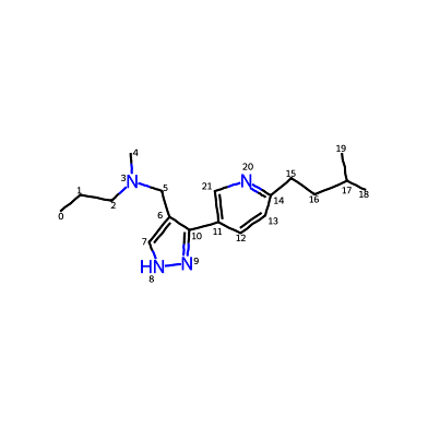 CCCN(C)Cc1c[nH]nc1-c1ccc(CCC(C)C)nc1